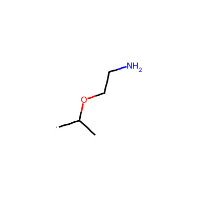 [CH2]C(C)OCCN